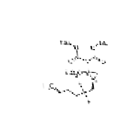 C=CCCC(F)(F)C[C@@H]1C[C@@]1(C(=O)OCC)N(C(=O)OC(C)(C)C)C(=O)OC(C)(C)C